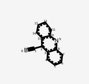 B#Cc1c2ccccc2nc2ccccc12